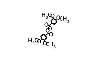 COc1ccc(C(=O)OOC(=O)c2ccc(OC)c(OC)c2)cc1OC